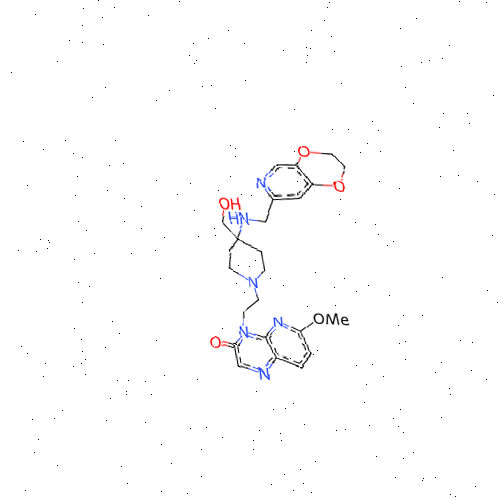 COc1ccc2ncc(=O)n(CCN3CCC(CO)(NCc4cc5c(cn4)OCCO5)CC3)c2n1